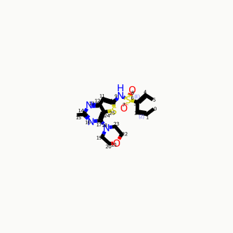 C/C=C\C(=C/C)S(=O)(=O)Nc1cc2nc(C)nc(N3CCOCC3)c2s1